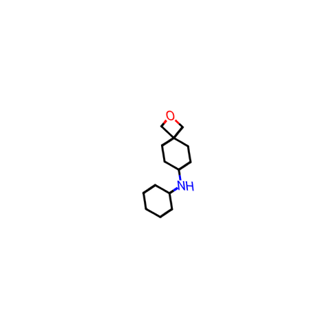 C1CCC(NC2CCC3(CC2)COC3)CC1